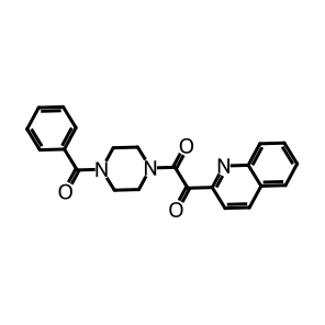 O=C(C(=O)N1CCN(C(=O)c2ccccc2)CC1)c1ccc2ccccc2n1